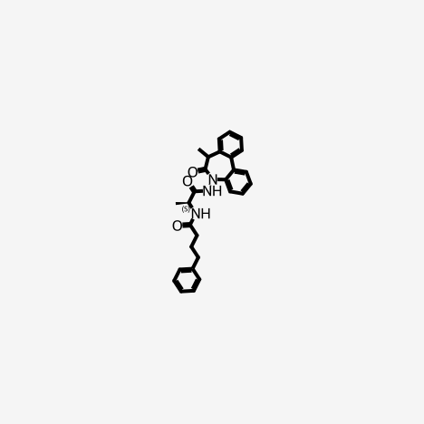 CC1C(=O)N(NC(=O)[C@H](C)NC(=O)CCCc2ccccc2)c2ccccc2-c2ccccc21